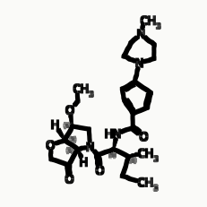 CCO[C@H]1CN(C(=O)[C@@H](NC(=O)c2ccc(N3CCN(C)CC3)cc2)[C@@H](C)CC)[C@@H]2C(=O)CO[C@H]12